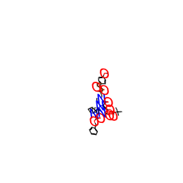 COc1ccc(S(=O)(=O)CCN2CCn3c([C@@H]4CCCN4C(=O)OCc4ccccc4)nc(=O)c(OC(=O)C(C)(C)C)c3C2=O)cc1